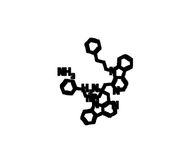 CCCC(N)(Cc1nccc2c3ccccc3n(CCCc3ccccc3)c12)Cc1nccc2c3ccccc3n(CCCc3ccccc3)c12.N